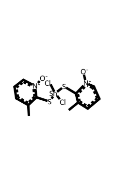 Cc1ccc[n+]([O-])c1[S][Sn]([Cl])([Cl])[S]c1c(C)ccc[n+]1[O-]